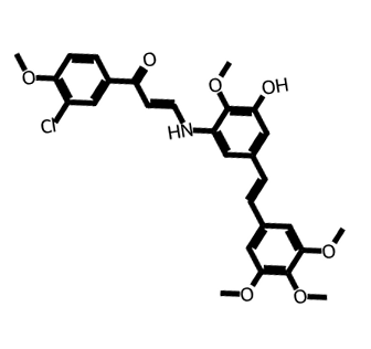 COc1ccc(C(=O)C=CNc2cc(C=Cc3cc(OC)c(OC)c(OC)c3)cc(O)c2OC)cc1Cl